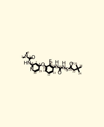 CN(C)C(=O)Nc1cc(Oc2cccc(NC(=O)NSC(=O)CC(C)(C)C)c2F)ccn1